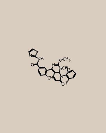 CSC1=NC(c2cc(C(=O)Nc3nccs3)ccc2C)=C2C=CC(=O)N(c3c(F)cccc3F)C2N1C